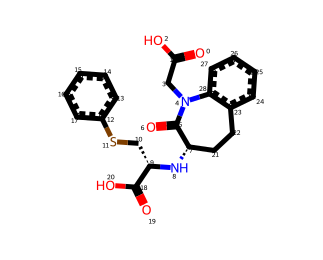 O=C(O)CN1C(=O)[C@@H](N[C@@H](CSc2ccccc2)C(=O)O)CCc2ccccc21